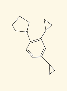 c1cc(N2CCCC2)c(C2CC2)cc1C1CC1